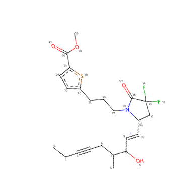 CCC#CCC(C)C(O)/C=C/[C@H]1CC(F)(F)C(=O)N1CCCc1ccc(C(=O)OC)s1